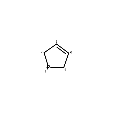 C1=CC[P]C1